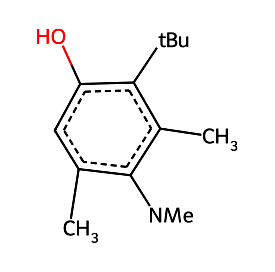 CNc1c(C)cc(O)c(C(C)(C)C)c1C